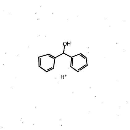 OC(c1ccccc1)c1ccccc1.[H+]